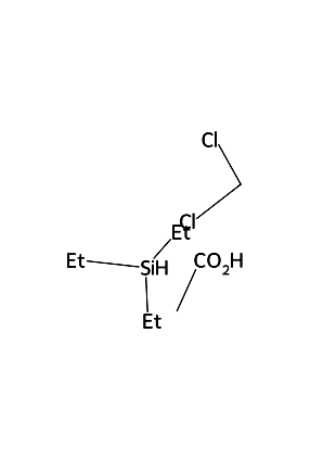 CC(=O)O.CC[SiH](CC)CC.ClCCl